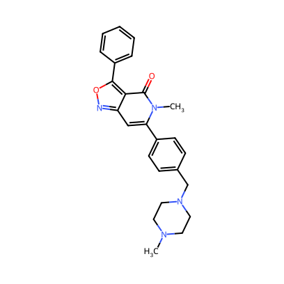 CN1CCN(Cc2ccc(-c3cc4noc(-c5ccccc5)c4c(=O)n3C)cc2)CC1